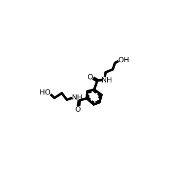 O=C(NCCCO)c1cccc(C(=O)NCCCO)c1